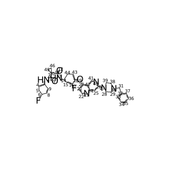 O=C(NC1=CCC(F)C=C1)C1(C(=O)NC2C=C(F)C(Oc3ccnc4cc(N5CCN(Cc6ccccc6)CC5)ncc34)=CC2)CC1